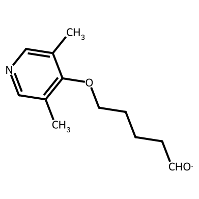 Cc1cncc(C)c1OCCCC[C]=O